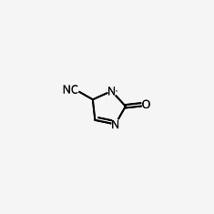 N#CC1C=NC(=O)[N]1